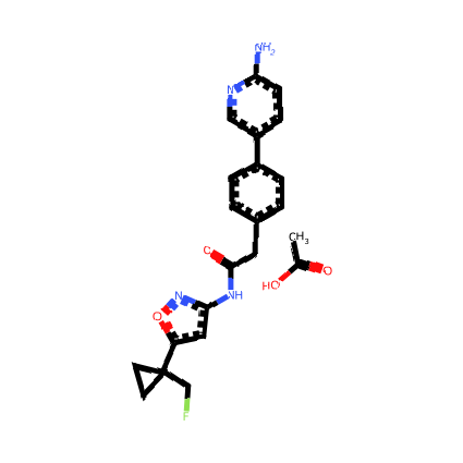 CC(=O)O.Nc1ccc(-c2ccc(CC(=O)Nc3cc(C4(CF)CC4)on3)cc2)cn1